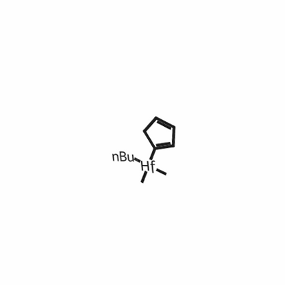 CCC[CH2][Hf]([CH3])([CH3])[C]1=CC=CC1